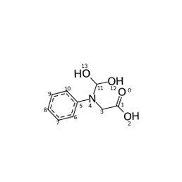 O=C(O)CN(c1ccccc1)C(O)O